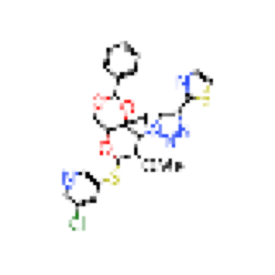 COC1C(n2cc(-c3nccs3)nn2)[C@H]2OC(c3ccccc3)OCC2O[C@@H]1Sc1cncc(Cl)c1